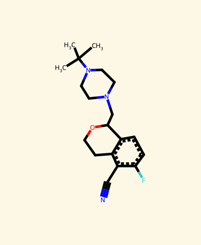 CC(C)(C)N1CCN(CC2OCCc3c2ccc(F)c3C#N)CC1